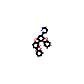 c1ccc(-c2cc3oc4ccc5c6ccccc6oc5c4c3c3c2oc2ccccc23)nc1